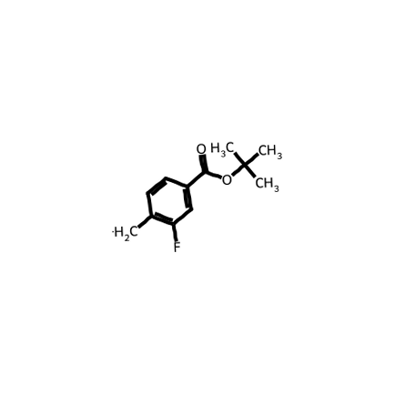 [CH2]c1ccc(C(=O)OC(C)(C)C)cc1F